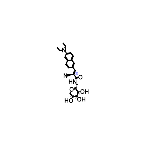 CCN(CC)c1ccc2cc(/C=C(\C#N)C(=O)NC[C@H]3OC[C@H](O)[C@@H](O)[C@@H]3O)ccc2c1